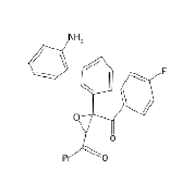 CC(C)C(=O)C1OC1(C(=O)c1ccc(F)cc1)c1ccccc1.Nc1ccccc1